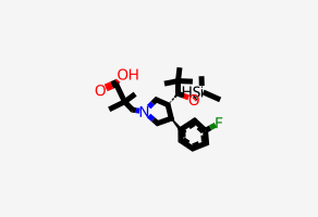 C[SiH](C)OC([C@H]1CN(CC(C)(C)C(=O)O)C[C@@H]1c1cccc(F)c1)C(C)(C)C